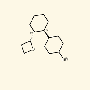 CCCC1CCC([C@@H]2CCCC[C@H]2C2CCO2)CC1